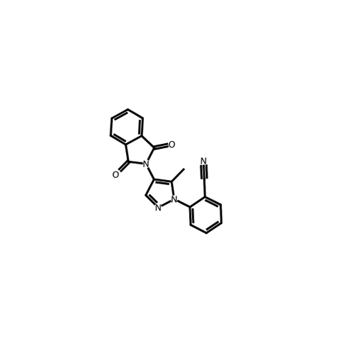 Cc1c(N2C(=O)c3ccccc3C2=O)cnn1-c1ccccc1C#N